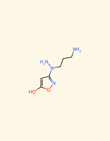 NCCCN(N)c1cc(O)on1